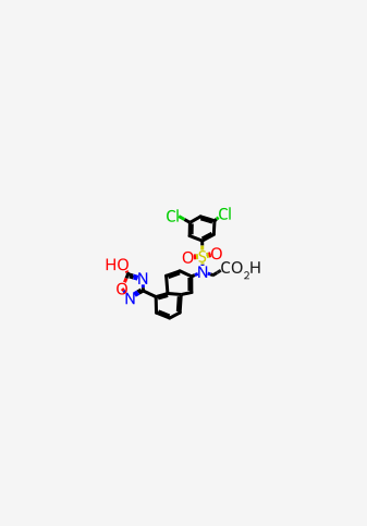 O=C(O)CN(c1ccc2c(-c3noc(O)n3)cccc2c1)S(=O)(=O)c1cc(Cl)cc(Cl)c1